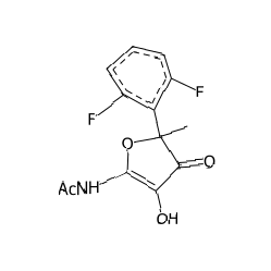 CC(=O)NC1=C(O)C(=O)C(C)(c2c(F)cccc2F)O1